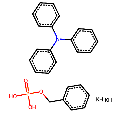 O=P(O)(O)OCc1ccccc1.[KH].[KH].c1ccc(N(c2ccccc2)c2ccccc2)cc1